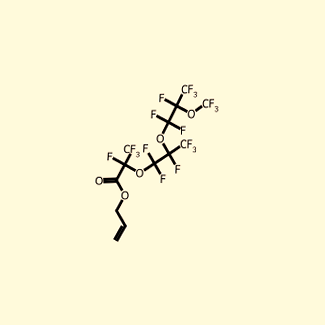 C=CCOC(=O)C(F)(OC(F)(F)C(F)(OC(F)(F)C(F)(OC(F)(F)F)C(F)(F)F)C(F)(F)F)C(F)(F)F